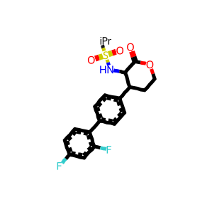 CC(C)S(=O)(=O)NC1C(=O)OCCC1c1ccc(-c2ccc(F)cc2F)cc1